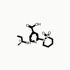 CC[C@H](C)Nc1cc(C(=O)O)cc(N2CCCCS2(=O)=O)n1